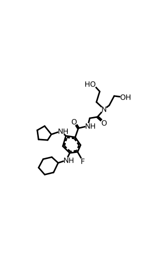 O=C(NCC(=O)N(CCO)CCO)c1cc(F)c(NC2CCCCC2)cc1NC1CCCC1